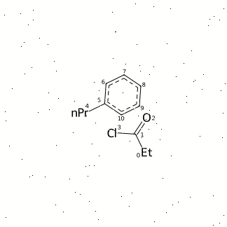 CCC(=O)Cl.CCCc1ccccc1